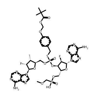 COCP(=O)(O)OC[C@H]1O[C@@H](n2cnc3c(N)ncnc32)[C@H](F)[C@@H]1OP(=O)(OC[C@H]1O[C@@H](n2cnc3c(N)ncnc32)[C@H](F)[C@@H]1C)SCc1ccc(OCOC(=O)C(C)(C)C)cc1